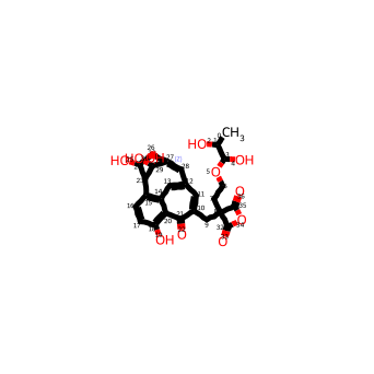 CC(O)C(O)OCCC1(Cc2cc3cc4c(ccc(O)c4c2=O)C2C(O)C/C(=C/3)C2(O)O)C(=O)OC1=O